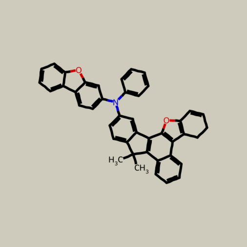 CC1(C)c2ccc(N(c3ccccc3)c3ccc4c(c3)oc3ccccc34)cc2-c2c1c1ccccc1c1c3c(oc21)C=CCC3